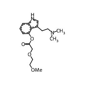 COCCOCC(=O)Oc1cccc2[nH]cc(CCN(C)C)c12